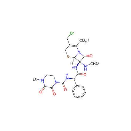 CCN1CCN(C(=O)N[C@@H](C(=O)N[C@]2(NC=O)C(=O)N3C(C(=O)O)=C(CBr)CS[C@@H]32)c2ccccc2)C(=O)C1=O